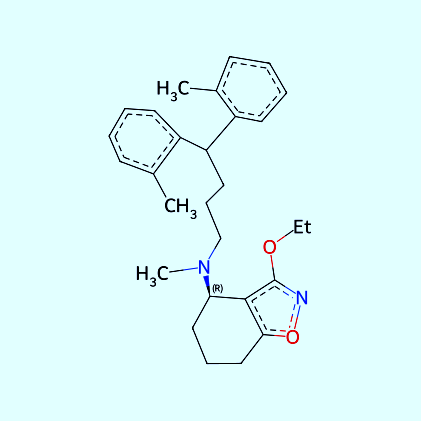 CCOc1noc2c1[C@H](N(C)CCCC(c1ccccc1C)c1ccccc1C)CCC2